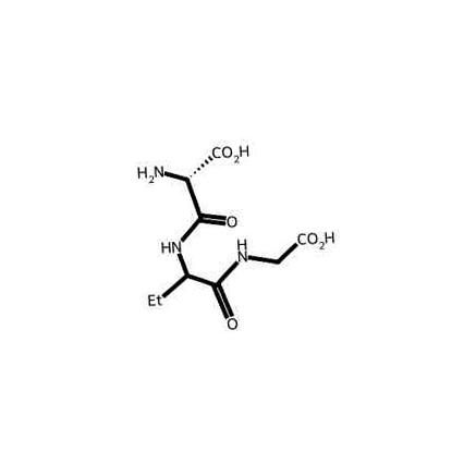 CCC(NC(=O)[C@H](N)C(=O)O)C(=O)NCC(=O)O